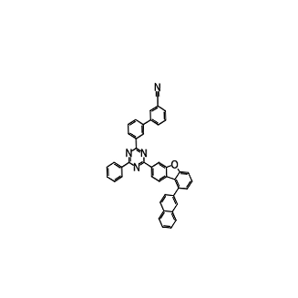 N#Cc1cccc(-c2cccc(-c3nc(-c4ccccc4)nc(-c4ccc5c(c4)oc4cccc(-c6ccc7ccccc7c6)c45)n3)c2)c1